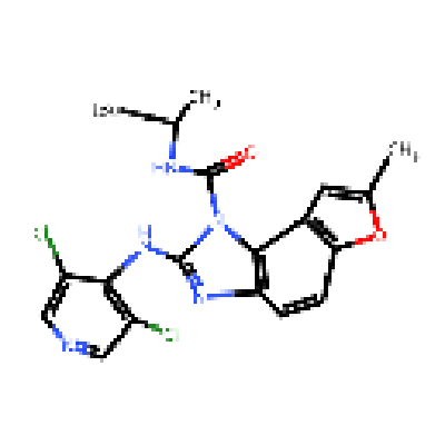 Cc1cc2c(ccc3nc(Nc4c(Cl)cncc4Cl)n(C(=O)NC(C)C(C)(C)C)c32)o1